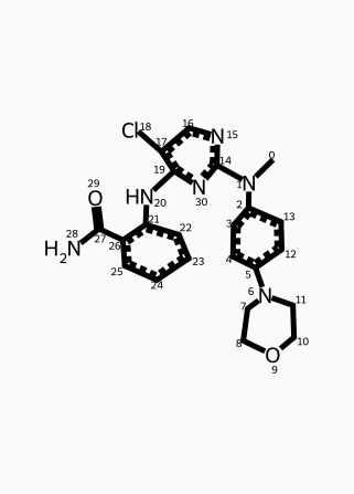 CN(c1ccc(N2CCOCC2)cc1)c1ncc(Cl)c(Nc2ccccc2C(N)=O)n1